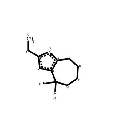 CCc1cc2c(s1)CCCCC2(F)F